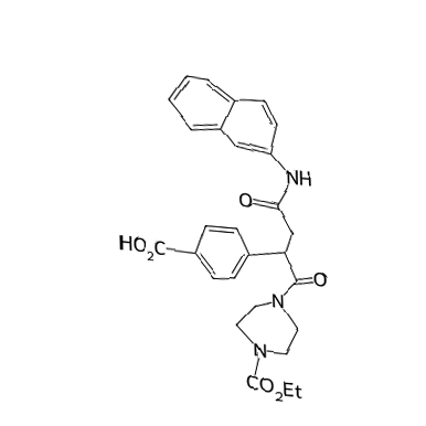 CCOC(=O)N1CCN(C(=O)C(CC(=O)Nc2ccc3ccccc3c2)c2ccc(C(=O)O)cc2)CC1